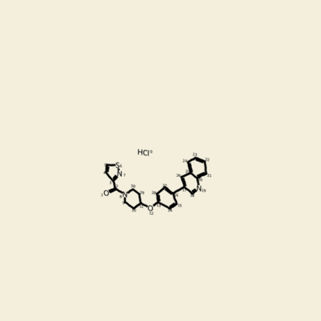 Cl.O=C(c1ccsn1)N1CCC(Oc2ccc(-c3cnc4ccccc4c3)cc2)CC1